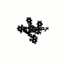 CC(C)C[C@H](NC(=O)[C@@H](C)NC(=O)OCc1ccccc1)C(=O)N[C@@H](Cc1ccccc1)C(=O)O.O=C(COCC(=O)c1c(F)cccc1F)COCC(=O)c1c(F)cccc1F